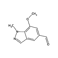 COc1cc(C=O)cc2cnn(C)c12